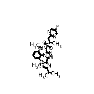 COc1cccc(OC)c1-n1c(NS(=O)(=O)C(C)Cc2ncc(F)cn2)nnc1-c1nc(C(C)C)cs1